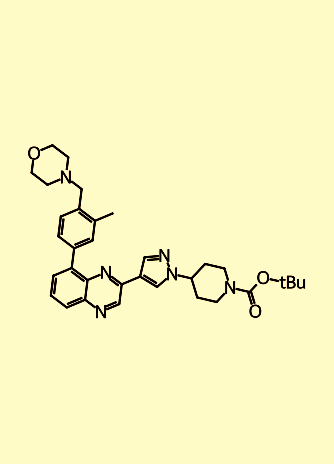 Cc1cc(-c2cccc3ncc(-c4cnn(C5CCN(C(=O)OC(C)(C)C)CC5)c4)nc23)ccc1CN1CCOCC1